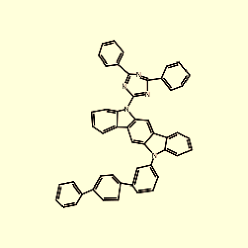 c1ccc(-c2ccc(-c3cccc(-n4c5ccccc5c5cc6c(cc54)c4ccccc4n6-c4nc(-c5ccccc5)nc(-c5ccccc5)n4)c3)cc2)cc1